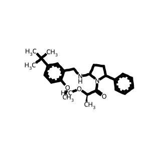 COc1ccc(C(C)(C)C)cc1CNC1CCC(c2ccccc2)N1C(=O)[C@@H](C)OC